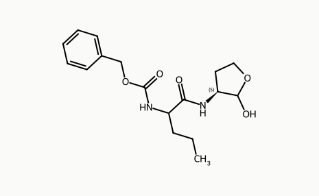 CCCC(NC(=O)OCc1ccccc1)C(=O)N[C@H]1CCOC1O